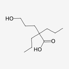 CCCC(CCC)(CCCO)C(=O)O